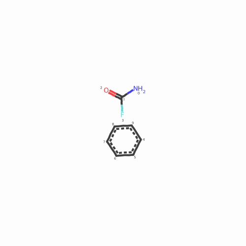 NC(=O)F.c1ccccc1